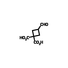 O=CC1CC(C(=O)O)(C(=O)O)C1